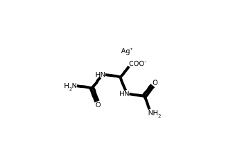 NC(=O)NC(NC(N)=O)C(=O)[O-].[Ag+]